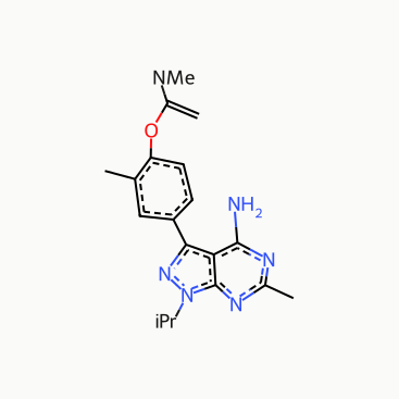 C=C(NC)Oc1ccc(-c2nn(C(C)C)c3nc(C)nc(N)c23)cc1C